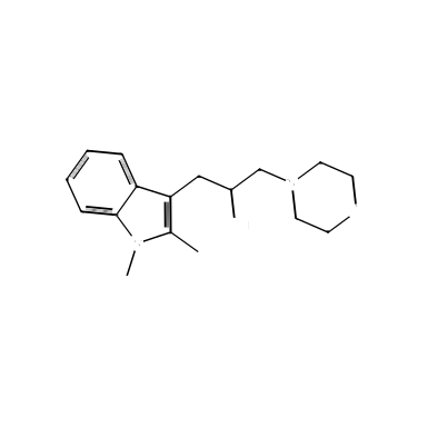 Cc1c(CC(O)CN2CCOCC2)c2ccccc2n1C